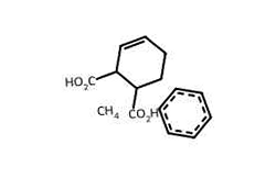 C.O=C(O)C1C=CCCC1C(=O)O.c1ccccc1